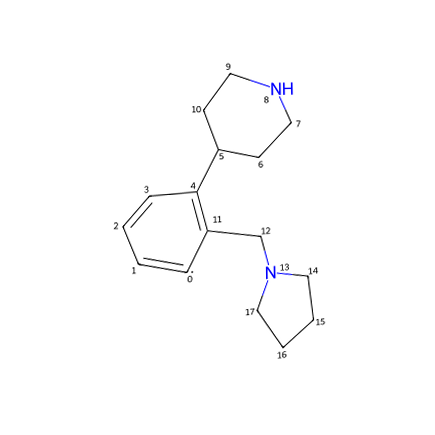 [c]1cccc(C2CCNCC2)c1CN1CCCC1